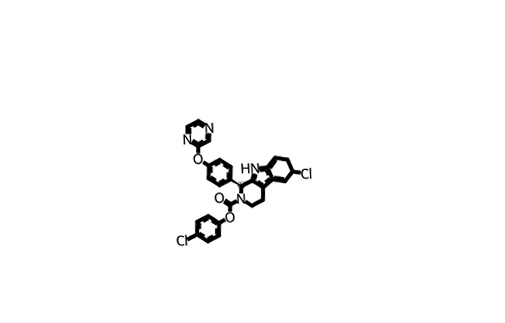 O=C(Oc1ccc(Cl)cc1)N1CCc2c([nH]c3c2=CC(Cl)CC=3)[C@@H]1c1ccc(Oc2cnccn2)cc1